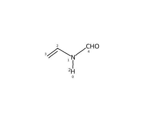 [2H]N(C=C)C=O